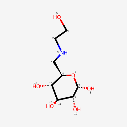 OCCNC[C@H]1O[C@H](O)[C@H](O)[C@@H](O)[C@@H]1O